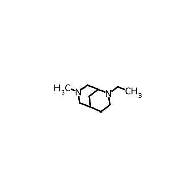 CCN1CCC2CC1CN(C)C2